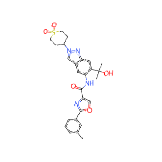 Cc1cccc(-c2nc(C(=O)Nc3cc4cn(C5CCS(=O)(=O)CC5)nc4cc3C(C)(C)O)co2)c1